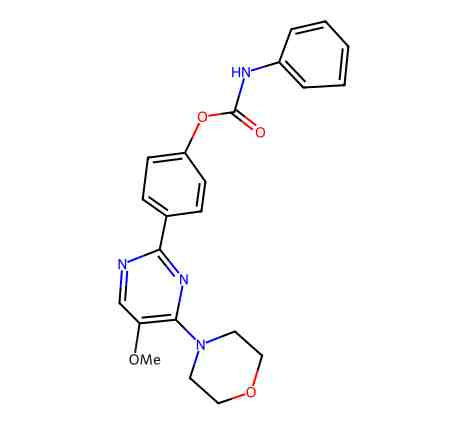 COc1cnc(-c2ccc(OC(=O)Nc3ccccc3)cc2)nc1N1CCOCC1